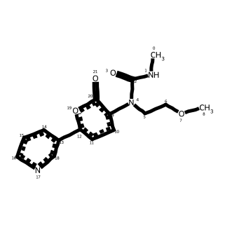 CNC(=O)N(CCOC)c1ccc(-c2cccnc2)oc1=O